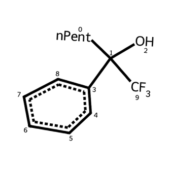 CCCCCC(O)(c1ccccc1)C(F)(F)F